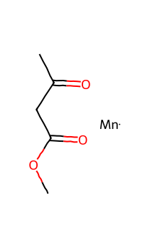 COC(=O)CC(C)=O.[Mn]